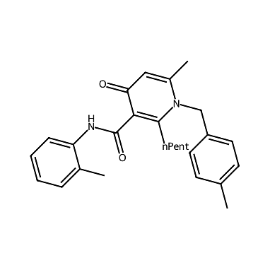 CCCCCc1c(C(=O)Nc2ccccc2C)c(=O)cc(C)n1Cc1ccc(C)cc1